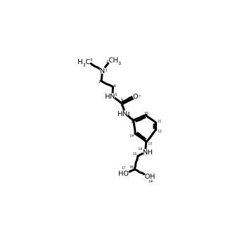 CN(C)CCNC(=O)Nc1cccc(NCC(O)O)c1